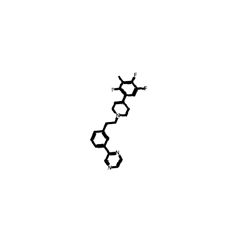 Cc1c(F)c(F)cc(C2=CCN(CCc3cccc(-c4cnccn4)c3)CC2)c1F